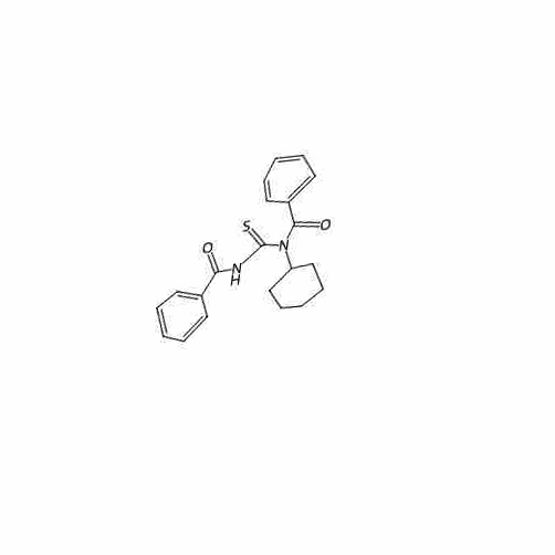 O=C(NC(=S)N(C(=O)c1ccccc1)C1CCCCC1)c1ccccc1